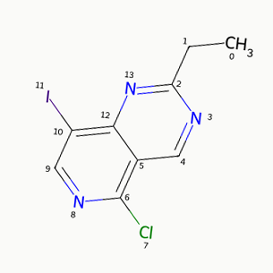 CCc1ncc2c(Cl)ncc(I)c2n1